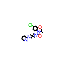 CC1COc2cc(Cl)ccc2N1C(=O)N1CC2(C1)CN(c1ccccn1)C2